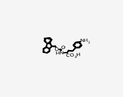 Nc1ccc(CC[C@H](NC(=O)OCC2c3ccccc3-c3ccccc32)C(=O)O)cc1